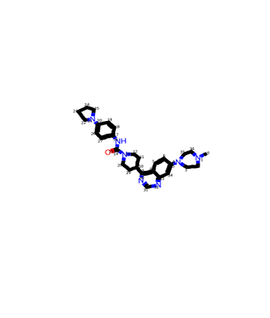 CN1CCN(c2ccc3c(C4CCN(C(=O)Nc5ccc(N6CCCC6)cc5)CC4)ncnc3c2)CC1